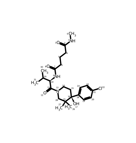 CNC(=O)CCCC(=O)N[C@@H](C(=O)N1CC[C@](O)(c2ccc(Cl)cc2)C(C)(C)C1)C(C)C